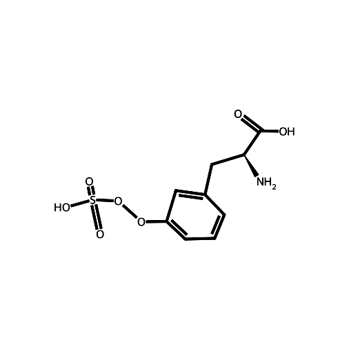 N[C@@H](Cc1cccc(OOS(=O)(=O)O)c1)C(=O)O